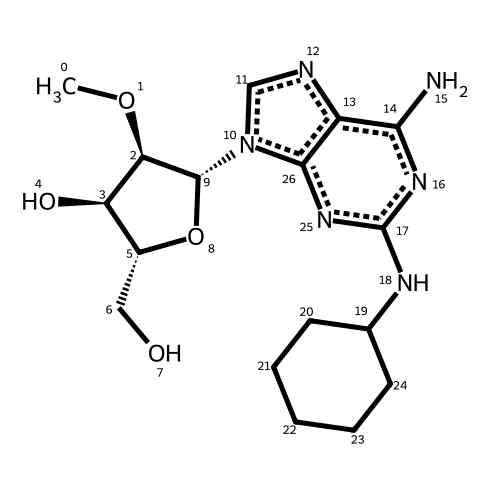 CO[C@@H]1[C@H](O)[C@@H](CO)O[C@H]1n1cnc2c(N)nc(NC3CCCCC3)nc21